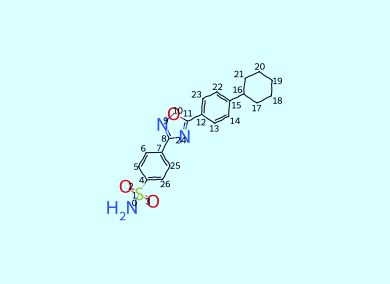 NS(=O)(=O)c1ccc(-c2noc(-c3ccc(C4CCCCC4)cc3)n2)cc1